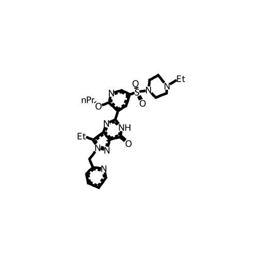 CCCOc1ncc(S(=O)(=O)N2CCN(CC)CC2)cc1-c1nc2c(CC)n(Cc3ccccn3)nc2c(=O)[nH]1